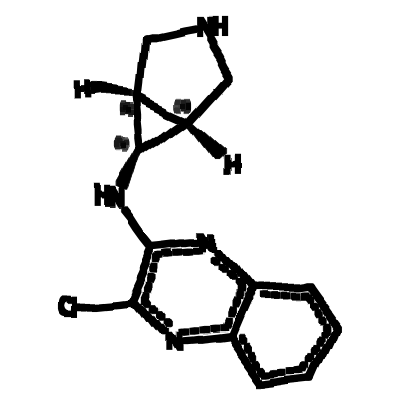 Clc1nc2ccccc2nc1N[C@H]1[C@@H]2CNC[C@@H]21